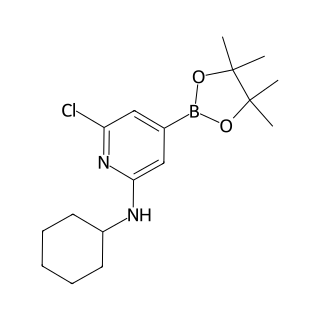 CC1(C)OB(c2cc(Cl)nc(NC3CCCCC3)c2)OC1(C)C